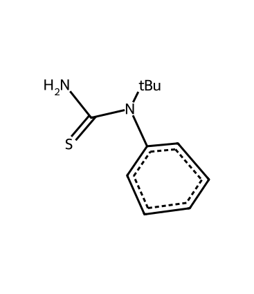 CC(C)(C)N(C(N)=S)c1ccccc1